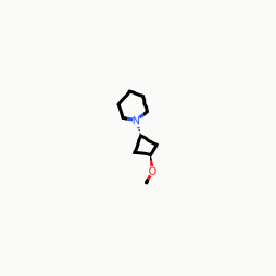 CO[C@H]1C[C@H](N2CCCCC2)C1